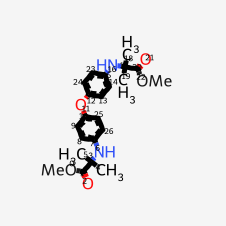 COC(=O)C(C)(C)Nc1ccc(Oc2ccc(NC(C)(C)C(=O)OC)cc2)cc1